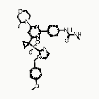 CNC(=O)Nc1ccc(-c2nc(N3CCOC[C@@H]3C)cc(C3(S(=O)(=O)c4nccn4Cc4ccc(OC)cc4)CC3)n2)cc1